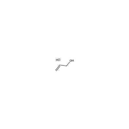 C=CCO.Cl